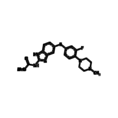 COC(=O)Nc1nc2cc(Sc3ccc(N4CCN(C)CC4)c(F)c3)ccc2[nH]1